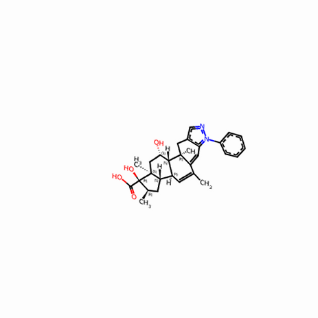 CC1=C[C@@H]2[C@H]([C@@H](O)C[C@@]3(C)[C@H]2C[C@@H](C)[C@]3(O)C(=O)O)[C@@]2(C)Cc3cnn(-c4ccccc4)c3C=C12